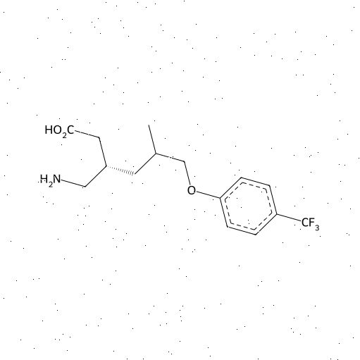 CC(COc1ccc(C(F)(F)F)cc1)C[C@H](CN)CC(=O)O